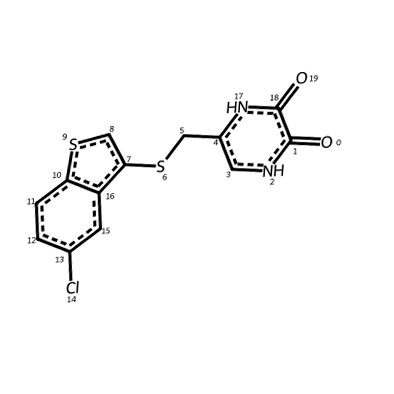 O=c1[nH]cc(CSc2csc3ccc(Cl)cc23)[nH]c1=O